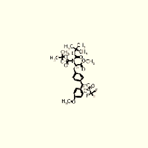 COC(=O)[C@H](Cc1ccc([C@H](OS(=O)(=O)C(F)(F)F)c2ccc(OC)cc2)cc1)N(C(=O)OC(C)(C)C)C(=O)OC(C)(C)C